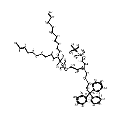 CCCCCCCCCCC(CCCCCCCCCC)C(C)(C)[Si](C)(C)OCCN(CCCSC(c1ccccc1)(c1ccccc1)c1ccccc1)CCO[Si](C)(C)C(C)(C)C